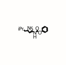 CC(C)Cc1cc(NC(=O)Oc2ccccc2)sn1